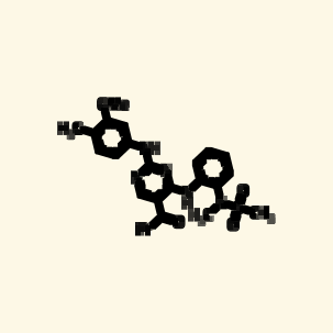 COc1cc(Nc2ncc(C(=O)C(C)C)c(Nc3ccccc3N(C)S(C)(=O)=O)n2)ccc1C